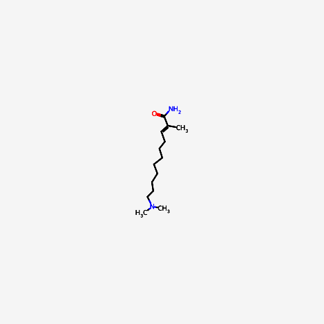 C/C(=C\CCCCCCCCN(C)C)C(N)=O